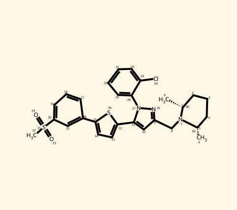 C[C@@H]1CCC[C@H](C)N1Cc1cc(-c2ccc(-c3cccc(S(C)(=O)=O)c3)s2)n(-c2ccccc2Cl)n1